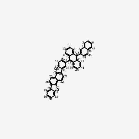 c1ccc2cc(-c3c4ccccc4c(-c4ccc5sc6c(ccc7c6ccc6c8ccccc8sc67)c5c4)c4ccccc34)ccc2c1